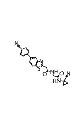 N#Cc1ccc(-c2ccc3sc(CC(=O)NCC(=O)NC4(C#N)CC4)nc3c2)cc1